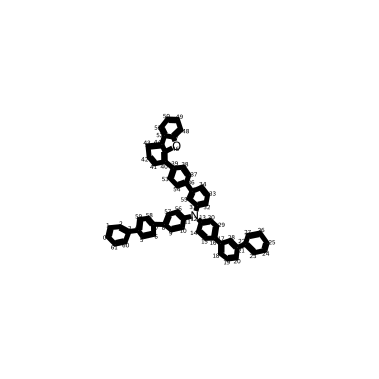 c1ccc(-c2ccc(-c3ccc(N(c4ccc(-c5cccc(-c6ccccc6)c5)cc4)c4cccc(-c5ccc(-c6cccc7c6oc6ccccc67)cc5)c4)cc3)cc2)cc1